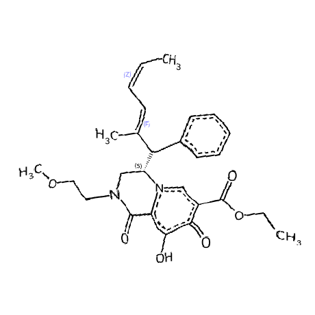 C/C=C\C=C(/C)C(c1ccccc1)[C@H]1CN(CCOC)C(=O)c2c(O)c(=O)c(C(=O)OCC)cn21